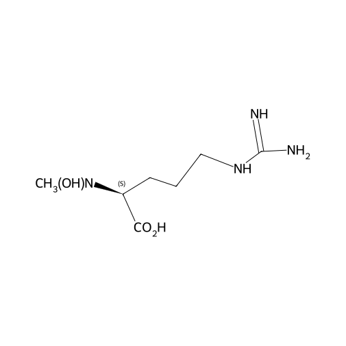 CN(O)[C@@H](CCCNC(=N)N)C(=O)O